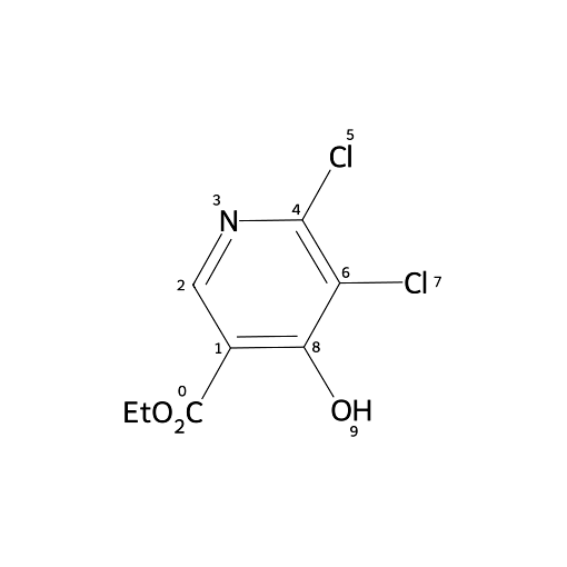 CCOC(=O)c1cnc(Cl)c(Cl)c1O